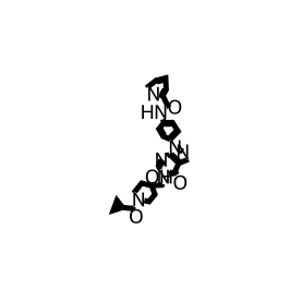 O=C(Nc1ccc(-n2ncc3c(=O)n(CC4(O)CCN(C(=O)C5CC5)CC4)cnc32)cc1)c1ccccn1